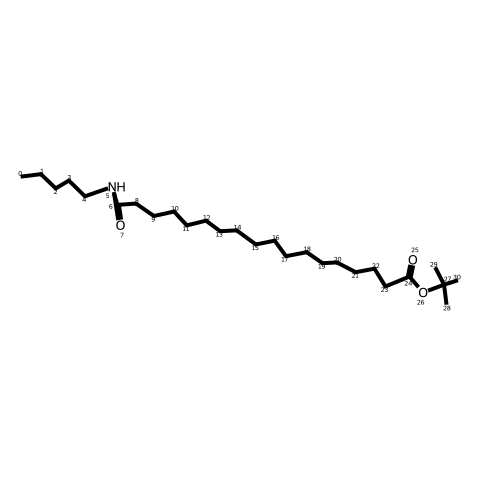 CCCCCNC(=O)CCCCCCCCCCCCCCCCC(=O)OC(C)(C)C